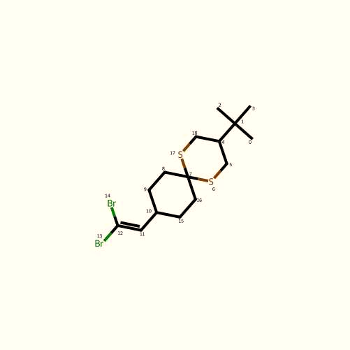 CC(C)(C)C1CSC2(CCC(C=C(Br)Br)CC2)SC1